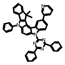 CC1(C)c2ccccc2-c2c1c1c3c4cc(-c5cccnc5)ccc4n(-c4nc(-c5ccccc5)nc(-c5ccccc5)n4)c3ccc1n2-c1ccccc1